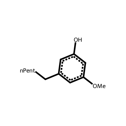 CCCCCCc1cc(O)cc(OC)c1